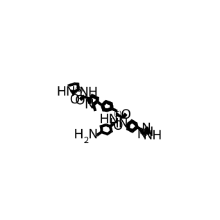 Cc1nc(C(=O)N[C@H]2CCCNC2=O)ccc1-c1ccc(C[C@H](NC(=O)C2CCC(CN)CC2)C(=O)Nc2ccc(-c3nn[nH]n3)cc2)cc1